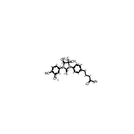 CC(C)C(=O)CCCc1ccc(N2C(=S)N(c3ccc(C#N)c(C(F)(F)F)c3)C(=O)C2(C)C)cc1